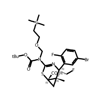 CC(C)(C)OC(=O)N(COCC[Si](C)(C)C)C1=N[C@@](CF)(c2cc(Br)ccc2F)[C@]2(C)C[C@]2(C(=O)O)S1